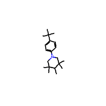 CC1C(C)(C)CN(c2ccc(C(C)(C)C)cc2)CC1(C)C